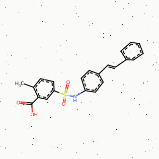 Cc1ccc(S(=O)(=O)Nc2ccc(C=Cc3ccccc3)cc2)cc1C(=O)O